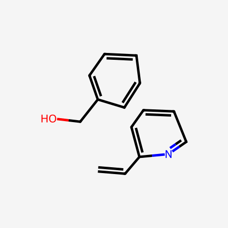 C=Cc1ccccn1.OCc1ccccc1